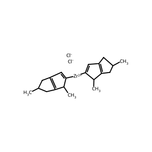 CC1CC2=C(C1)C(C)[C]([Zr+2][C]1=CC3=C(CC(C)C3)C1C)=C2.[Cl-].[Cl-]